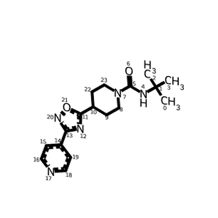 CC(C)(C)NC(=O)N1CCC(c2nc(-c3ccncc3)no2)CC1